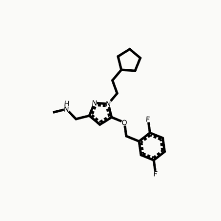 CNCc1cc(OCc2cc(F)ccc2F)n(CCC2CCCC2)n1